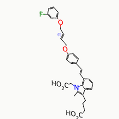 Cc1c(CCCC(=O)O)c2cccc(C=Cc3ccc(OC/C=C/COc4cccc(F)c4)cc3)c2n1CC(=O)O